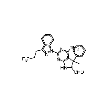 CC1(c2ccccc2)c2c(N)nc(-n3nc(CCC(F)(F)F)c4ccccc43)nc2NC1C=O